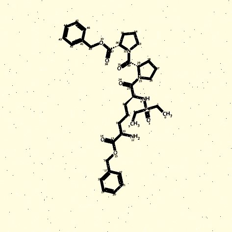 CCP(=O)(CC)N[C@@H](CCCC(N)C(=O)OCc1ccccc1)C(=O)N1CCC[C@H]1C(=O)N1CCC[C@H]1C(=O)OCc1ccccc1